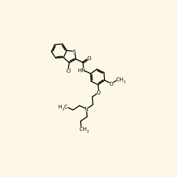 CCCN(CCC)CCOc1cc(NC(=O)c2sc3ccccc3c2Cl)ccc1OC